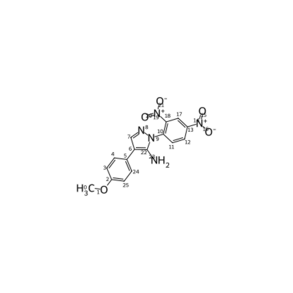 COc1ccc(-c2cnn(-c3ccc([N+](=O)[O-])cc3[N+](=O)[O-])c2N)cc1